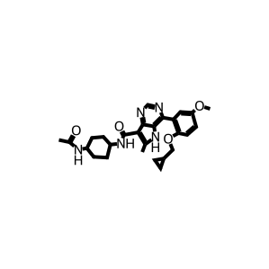 COc1ccc(OCC2CC2)c(-c2ncnc3c(C(=O)NC4CCC(NC(C)=O)CC4)c(C)[nH]c23)c1